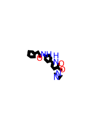 O=C(Cc1ccccc1)Nc1ccc(-c2ccc(C(=O)n3ccnc3)c(=O)[nH]2)cc1